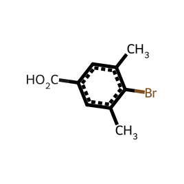 Cc1cc(C(=O)O)cc(C)c1Br